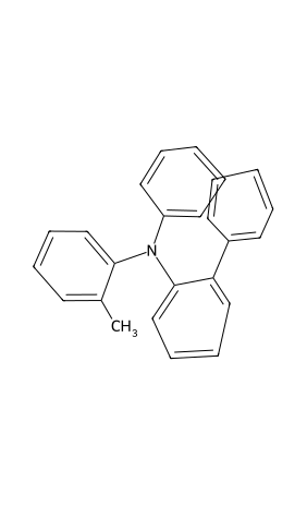 Cc1ccccc1N(c1ccccc1)c1ccccc1-c1ccccc1